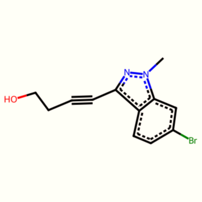 Cn1nc(C#CCCO)c2ccc(Br)cc21